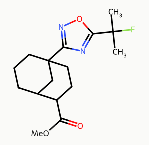 COC(=O)C1CCC2(c3noc(C(C)(C)F)n3)CCCC1C2